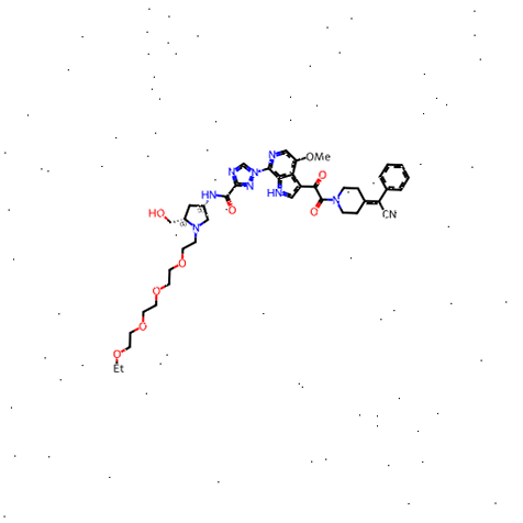 CCOCCOCCOCCOCCN1C[C@@H](NC(=O)c2ncn(-c3ncc(OC)c4c(C(=O)C(=O)N5CCC(=C(C#N)c6ccccc6)CC5)c[nH]c34)n2)C[C@H]1CO